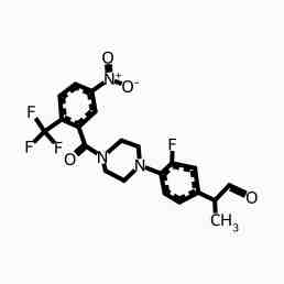 CC(C=O)c1ccc(N2CCN(C(=O)c3cc([N+](=O)[O-])ccc3C(F)(F)F)CC2)c(F)c1